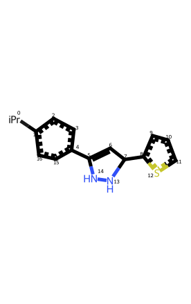 CC(C)c1ccc(C2=CC(c3cccs3)NN2)cc1